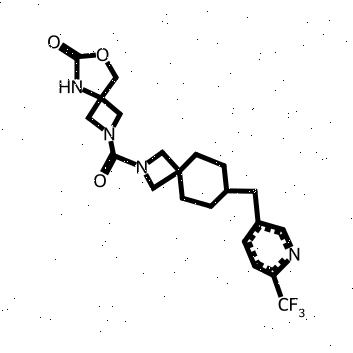 O=C1NC2(CO1)CN(C(=O)N1CC3(CCC(Cc4ccc(C(F)(F)F)nc4)CC3)C1)C2